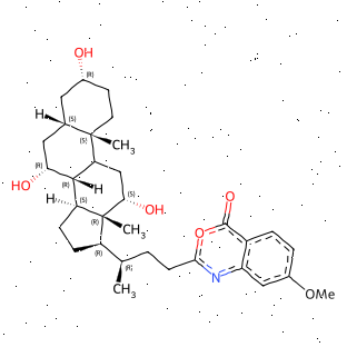 COc1ccc2c(=O)oc(CC[C@@H](C)[C@H]3CC[C@H]4[C@H]5C(C[C@H](O)[C@]34C)[C@@]3(C)CC[C@@H](O)C[C@H]3C[C@H]5O)nc2c1